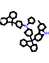 Cc1ccc2[nH]c3ccc(C4(c5ccc(N(c6ccccc6)c6ccc(C7(C)c8ccccc8-c8ccccc87)cc6)cc5)c5ccccc5-c5ccccc54)cc3c2c1